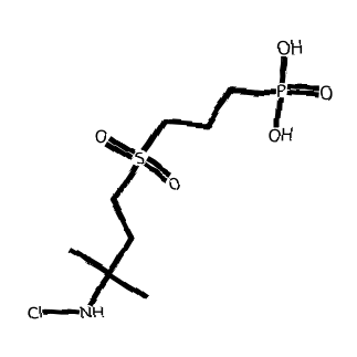 CC(C)(CCS(=O)(=O)CCCP(=O)(O)O)NCl